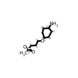 CS(=O)(=O)CCCOC1CCC(N)CC1